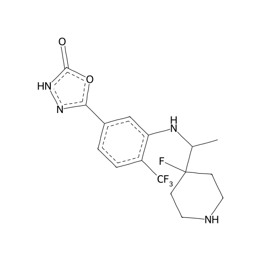 CC(Nc1cc(-c2n[nH]c(=O)o2)ccc1C(F)(F)F)C1(F)CCNCC1